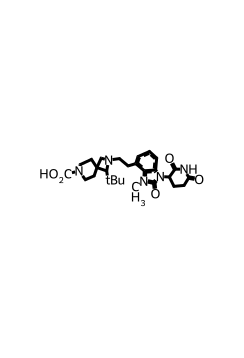 Cn1c(=O)n(C2CCC(=O)NC2=O)c2cccc(CCN3CC4(CCN(C(=O)O)CC4)C3C(C)(C)C)c21